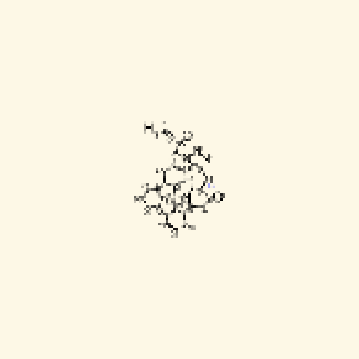 COC(=O)Cn1cc(/C=C2\CN(C(c3ccccc3)(c3ccccc3)c3ccccc3)CCC2=O)nn1